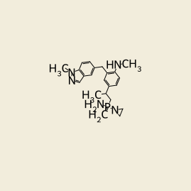 C=P(N)(CC(C)c1ccc(NC)c(Cc2ccc3c(cnn3C)c2)c1)N1CC1